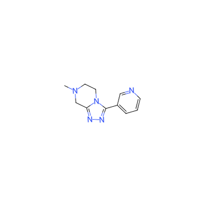 CN1CCn2c(nnc2-c2cccnc2)C1